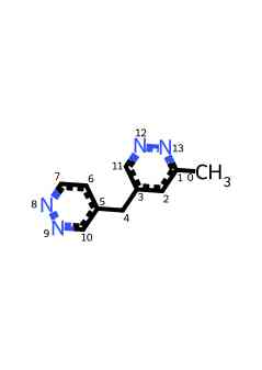 Cc1cc(Cc2ccnnc2)cnn1